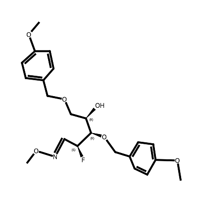 CON=C[C@H](F)[C@H](OCc1ccc(OC)cc1)[C@H](O)COCc1ccc(OC)cc1